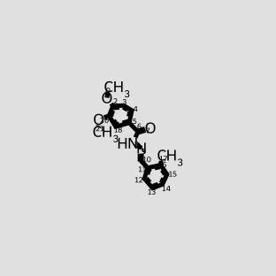 COc1ccc(C(=O)NN=Cc2ccccc2C)cc1OC